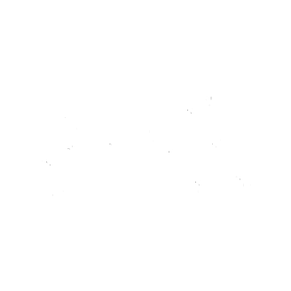 CCCCNc1nc(N)ncc1OC/C(=C/C(C)=N\C)CC